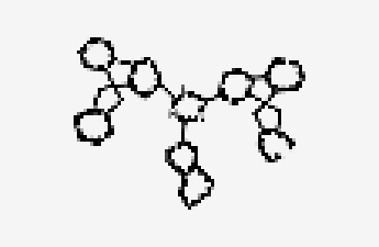 c1ccc2c(c1)CC1(C2)c2ccccc2-c2ccc(-c3nc(-c4ccc5c(c4)C4(Cc6ccccc6C4)c4ccccc4-5)nc(-c4ccc5ccccc5c4)n3)cc21